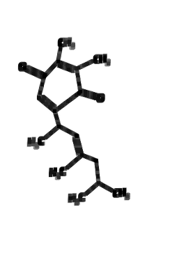 CC1=C(C)C(=O)C(C(C)/C=C(\C)CC(C)C)=CC1=O